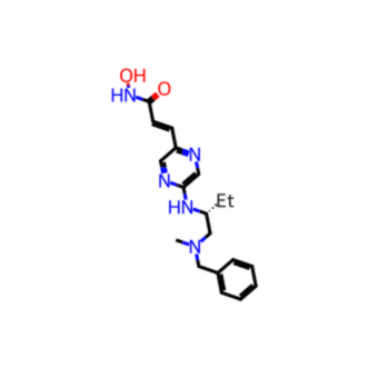 CC[C@H](CN(C)Cc1ccccc1)Nc1cnc(/C=C/C(=O)NO)cn1